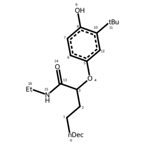 CCCCCCCCCCCCC(Oc1ccc(O)c(C(C)(C)C)c1)C(=O)NCC